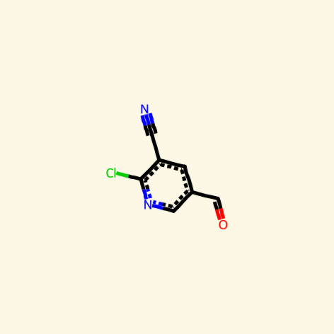 N#Cc1cc(C=O)cnc1Cl